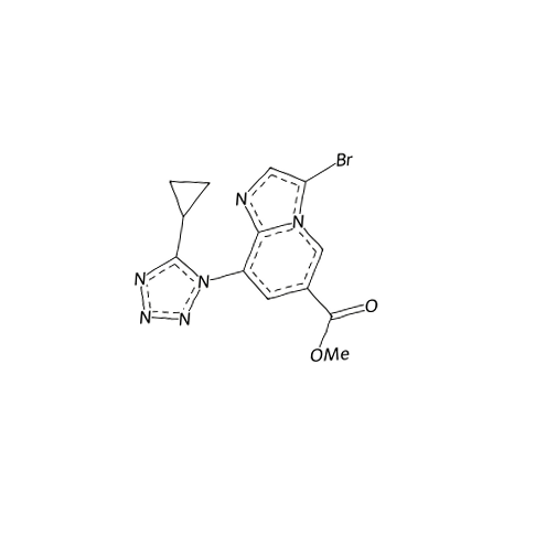 COC(=O)c1cc(-n2nnnc2C2CC2)c2ncc(Br)n2c1